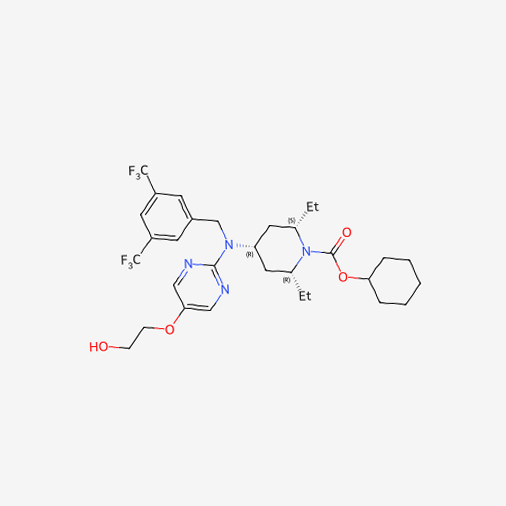 CC[C@@H]1C[C@H](N(Cc2cc(C(F)(F)F)cc(C(F)(F)F)c2)c2ncc(OCCO)cn2)C[C@H](CC)N1C(=O)OC1CCCCC1